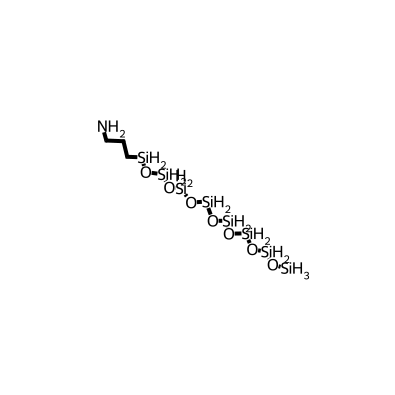 NCCC[SiH2]O[SiH2]O[SiH2]O[SiH2]O[SiH2]O[SiH2]O[SiH2]O[SiH3]